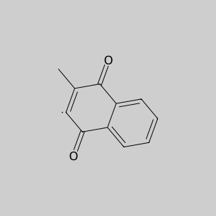 CC1=[C]C(=O)c2ccccc2C1=O